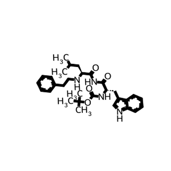 CC(C)C[C@H](NCCc1ccccc1)C(=O)NC(=O)[C@H](Cc1c[nH]c2ccccc12)NC(=O)OC(C)(C)C